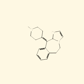 CN1CCC(=C2c3ccccc3CCN3C=CNC23)CC1